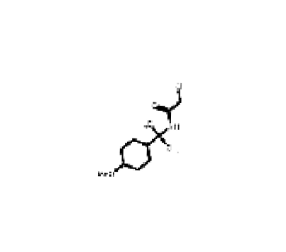 COC1CCC(C(C)(C)NC(=O)CCl)CC1